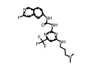 CN(C)CCCNc1cc(C(F)(F)F)nc(NC(=O)Nc2ccc3cnc(F)cc3c2)n1